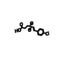 O=C(O)CCS(=O)(=O)/C=C/c1ccc(Cl)cc1